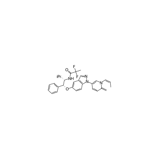 C=C1C=CC(n2ncc3cc(O[C@H](c4ccccc4)[C@@H](NC(=O)C(C)(F)F)C(C)C)ccc32)=CN1/C=C\C